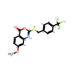 COc1ccc2c(=O)oc(SCc3ccc(C(F)(F)F)cc3)nc2c1